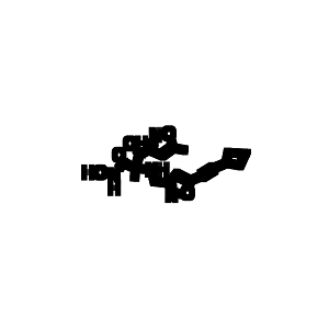 Cc1cc([C@H](O)C(C)(NCc2cc(C#CC3CCC3)on2)C(=O)NO)no1